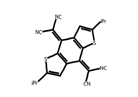 [C-]#[N+]/C(C#N)=c1/c2cc(C(C)C)sc2/c(=C(\C#N)[N+]#[C-])c2cc(C(C)C)sc12